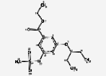 CCOC(=O)c1cc(OC(CC)CC)cc(OS(C)(=O)=O)c1